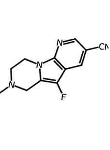 CC(C)N1CCn2c(c(F)c3cc(C#N)cnc32)C1